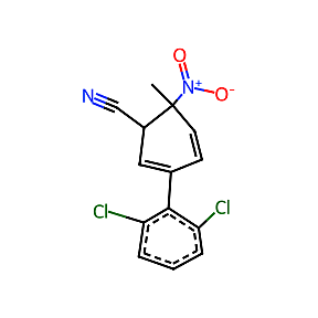 CC1([N+](=O)[O-])C=CC(c2c(Cl)cccc2Cl)=CC1C#N